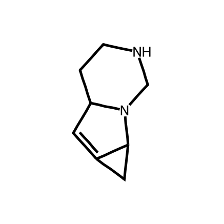 C1=C2CC2N2CNCCC12